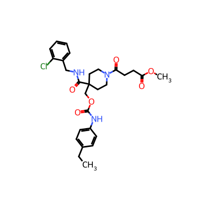 CCc1ccc(NC(=O)OCC2(C(=O)NCc3ccccc3Cl)CCN(C(=O)CCC(=O)OC)CC2)cc1